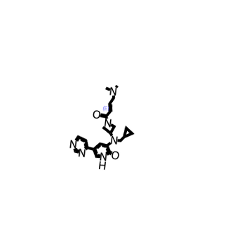 CN(C)C/C=C/C(=O)N1CC(N(CC2CC2)c2cc(-c3ccncn3)c[nH]c2=O)C1